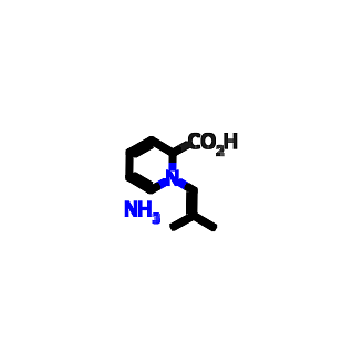 CC(C)=CN1C=CC=CC1C(=O)O.N